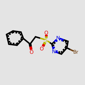 O=C(CS(=O)(=O)c1ncc(Br)cn1)c1ccccc1